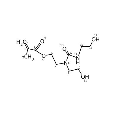 C=C(C)C(=O)OCCN(CCO)C(=O)NCCO